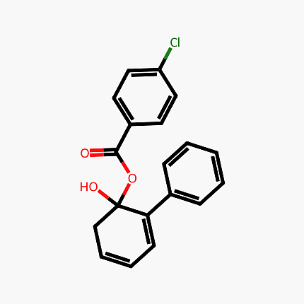 O=C(OC1(O)CC=CC=C1c1ccccc1)c1ccc(Cl)cc1